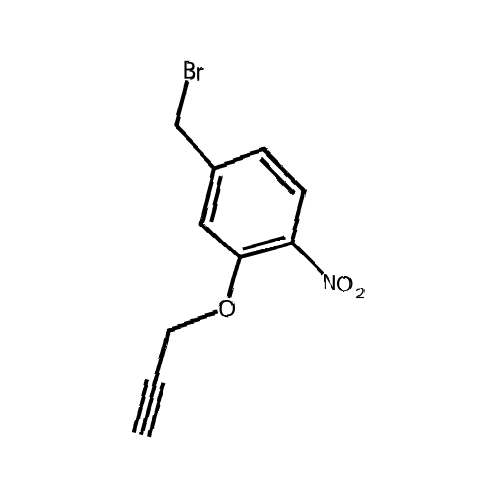 C#CCOc1cc(CBr)ccc1[N+](=O)[O-]